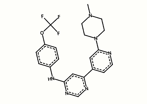 CN1CCN(c2cc(-c3cc(Nc4ccc(OC(F)(F)F)cc4)ncn3)ccn2)CC1